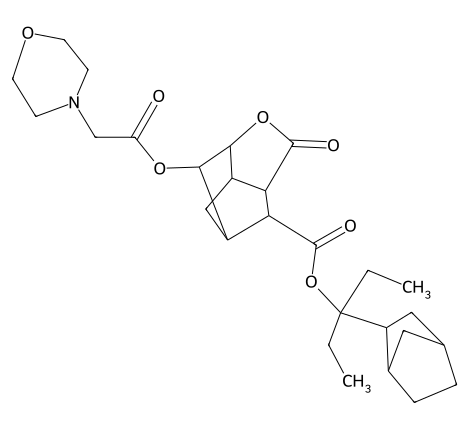 CCC(CC)(OC(=O)C1C2CC3C(OC(=O)C31)C2OC(=O)CN1CCOCC1)C1CC2CCC1C2